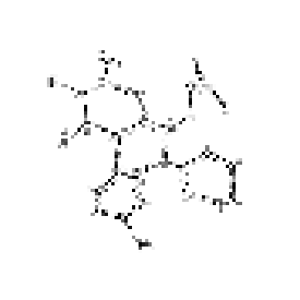 CC[n+]1c2c(c3ccc(N)cc3c1-c1ccccc1)C(Br)C(Br)C(N)=C2.[N-]=[N+]=[N-]